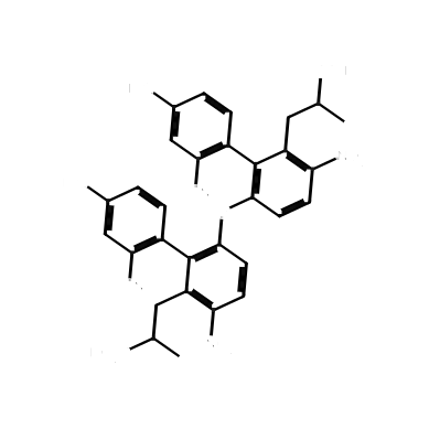 CC(Cc1c([N+](=O)[O-])ccc(Oc2ccc([N+](=O)[O-])c(CC(C)C(=O)O)c2-c2ccc(C(F)(F)F)cc2C#N)c1-c1ccc(C(F)(F)F)cc1C#N)C(=O)O